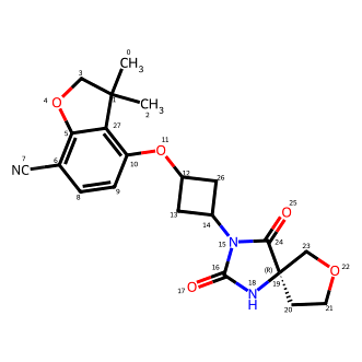 CC1(C)COc2c(C#N)ccc(OC3CC(N4C(=O)N[C@@]5(CCOC5)C4=O)C3)c21